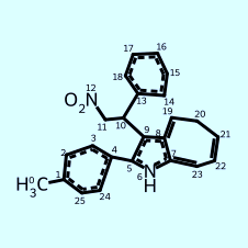 Cc1ccc(-c2[nH]c3c(c2C(C[N+](=O)[O-])c2ccccc2)=CCC=CC=3)cc1